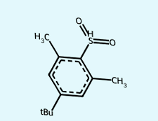 Cc1cc(C(C)(C)C)cc(C)c1[SH](=O)=O